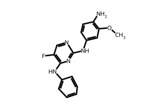 COc1cc(Nc2ncc(F)c(Nc3ccccc3)n2)ccc1N